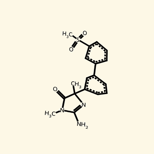 CN1C(=O)C(C)(c2cccc(-c3cccc(S(C)(=O)=O)c3)c2)N=C1N